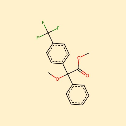 COC(=O)C(OC)(c1ccccc1)c1ccc(C(F)(F)F)cc1